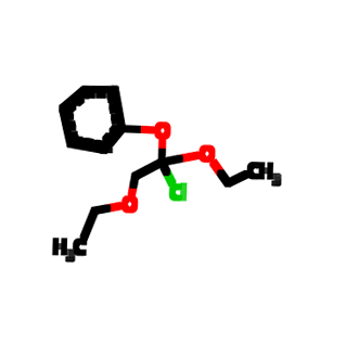 CCOCC(Cl)(OCC)Oc1[c]cccc1